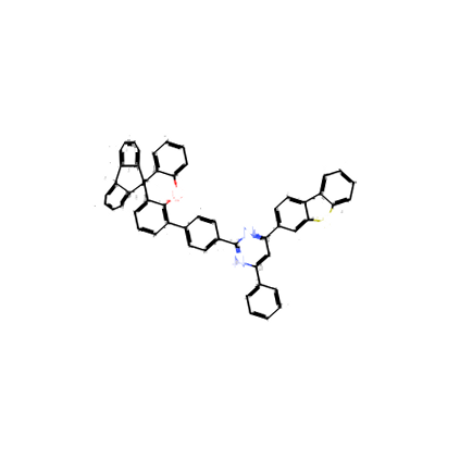 c1ccc(-c2cc(-c3ccc4c(c3)sc3ccccc34)nc(-c3ccc(-c4cccc5c4Oc4ccccc4C54c5ccccc5-c5ccccc54)cc3)n2)cc1